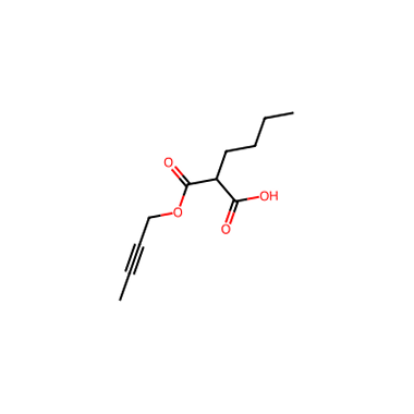 CC#CCOC(=O)C(CCCC)C(=O)O